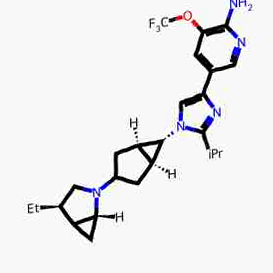 CC[C@H]1CN(C2C[C@@H]3[C@H](C2)[C@H]3n2cc(-c3cnc(N)c(OC(F)(F)F)c3)nc2C(C)C)[C@@H]2CC12